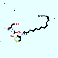 C1=CSSC1.CCCCC/C=C\C/C=C\CCCCCCCC(=O)O.O=C(O)C(O)O.OCCO